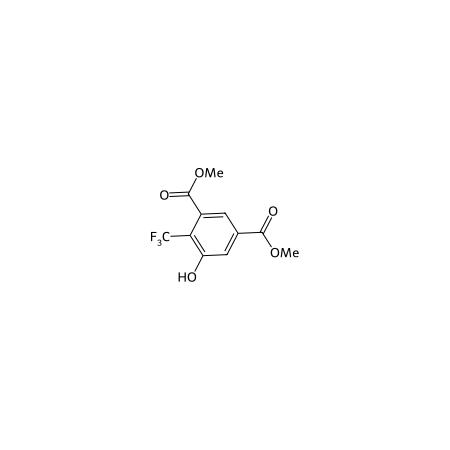 COC(=O)c1cc(O)c(C(F)(F)F)c(C(=O)OC)c1